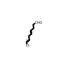 CC/C=C/C/C=C/CCC=O